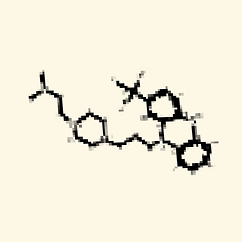 CN(C)CCN1CCN(CCCN2c3ccccc3Sc3ccc(C(C)(F)F)cc32)CC1